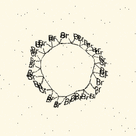 BrC1C(Br)(Br)C(Br)(Br)C(Br)(Br)C(Br)(Br)C(Br)(Br)C(Br)(Br)C(Br)(Br)C(Br)(Br)C(Br)(Br)C(Br)(Br)C(Br)(Br)C(Br)(Br)C(Br)(Br)C(Br)(Br)C(Br)(Br)C(Br)(Br)C1(Br)Br